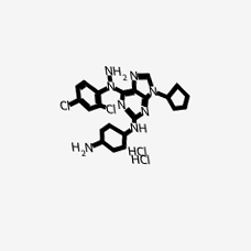 Cl.Cl.NC1CCC(Nc2nc(N(N)c3ccc(Cl)cc3Cl)c3ncn(C4CCCC4)c3n2)CC1